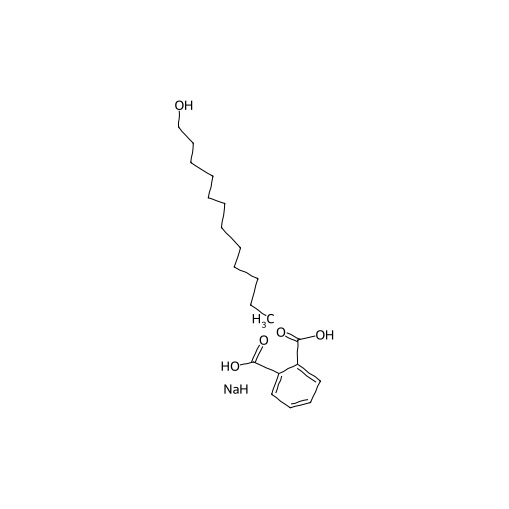 CCCCCCCCCCCCO.O=C(O)c1ccccc1C(=O)O.[NaH]